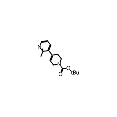 Cc1ncccc1C1=CCN(C(=O)OC(C)(C)C)CC1